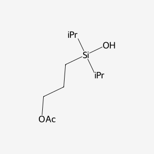 CC(=O)OCCC[Si](O)(C(C)C)C(C)C